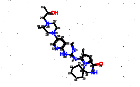 C=N/C(=N\c1c(C)cc2n1C1(CCCCC1)CNC2=O)Nc1ccc(N2CCN(C[C@@H](C)O)[C@H](C)C2)cn1